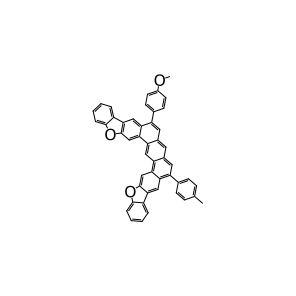 COc1ccc(-c2cc3cc4cc(-c5ccc(C)cc5)c5cc6c(cc5c4cc3c3cc4oc5ccccc5c4cc23)oc2ccccc26)cc1